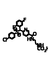 O=C(O)NCCNC(=O)c1ccc(C(c2cc(F)ccc2F)S(=O)(=O)c2ccc(Cl)cc2)nc1